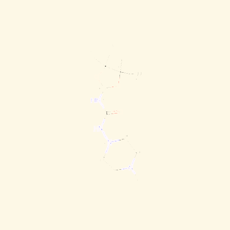 CN1CCN(NC(=O)NB2OC(C)(C)C(C)(C)O2)CC1